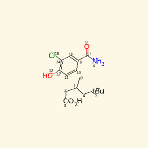 CC(CC(=O)O)CC(C)(C)C.NC(=O)c1ccc(O)c(Cl)c1